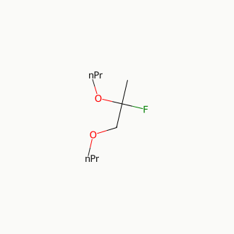 CCCOCC(C)(F)OCCC